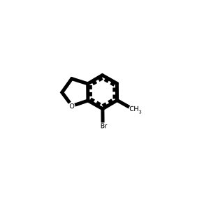 Cc1ccc2c(c1Br)OCC2